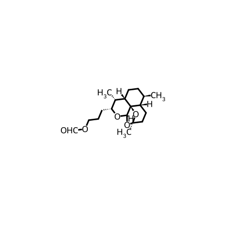 C[C@H]1[C@@H](CCCOC=O)O[C@@H]2O[C@]3(C)CC[C@H]4[C@H](C)CC[C@@H]1[C@@]24O3